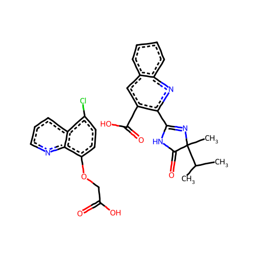 CC(C)C1(C)N=C(c2nc3ccccc3cc2C(=O)O)NC1=O.O=C(O)COc1ccc(Cl)c2cccnc12